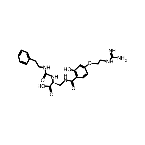 N=C(N)NCCOc1ccc(C(=O)NC[C@H](NC(=O)NCCc2ccccc2)C(=O)O)c(O)c1